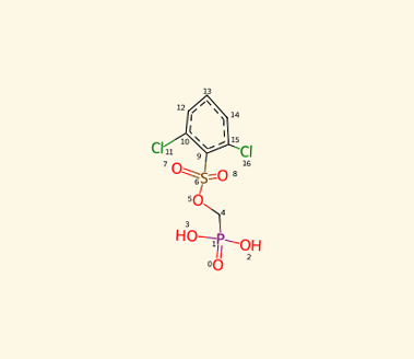 O=P(O)(O)COS(=O)(=O)c1c(Cl)cccc1Cl